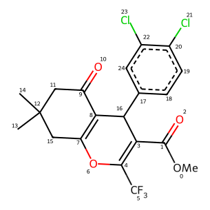 COC(=O)C1=C(C(F)(F)F)OC2=C(C(=O)CC(C)(C)C2)C1c1ccc(Cl)c(Cl)c1